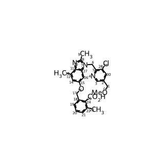 COCc1cnc(Cn2c(C)nc3c(C)cc(OCc4cccc(C)c4C(=O)O)cc32)c(Cl)c1